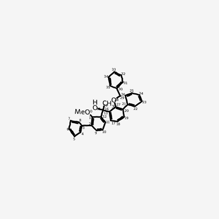 COc1c(-c2ccccc2)cccc1C(C)(O)c1cccc(-c2ccccc2)c1OCc1ccccc1